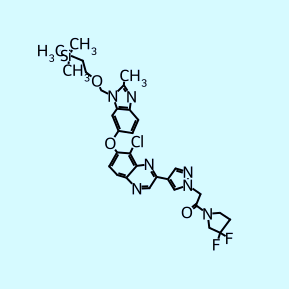 Cc1nc2ccc(Oc3ccc4ncc(-c5cnn(CC(=O)N6CCC(F)(F)C6)c5)nc4c3Cl)cc2n1COCC[Si](C)(C)C